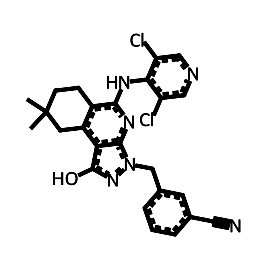 CC1(C)CCc2c(Nc3c(Cl)cncc3Cl)nc3c(c(O)nn3Cc3cccc(C#N)c3)c2C1